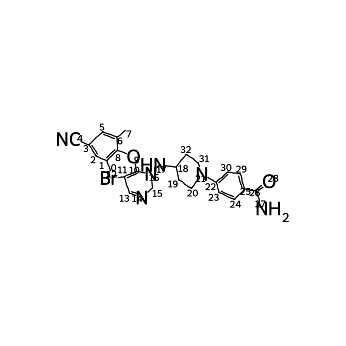 Cc1cc(C#N)cc(C)c1OC1=C(Br)C=NCN1NC1CCN(c2ccc(C(N)=O)cc2)CC1